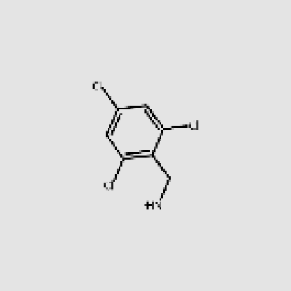 [NH]Cc1c(Cl)cc(Cl)cc1Cl